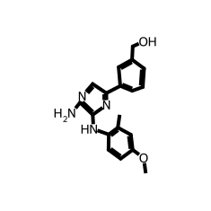 COc1ccc(Nc2nc(-c3cccc(CO)c3)cnc2N)c(C)c1